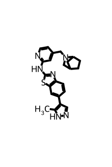 Cc1[nH]ncc1-c1ccc2nc(Nc3cc(CN4CC5CCC4C5)ccn3)sc2c1